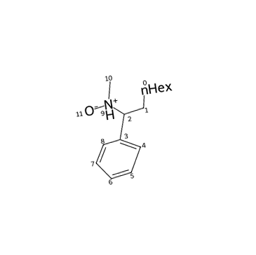 CCCCCCCC(c1ccccc1)[NH+](C)[O-]